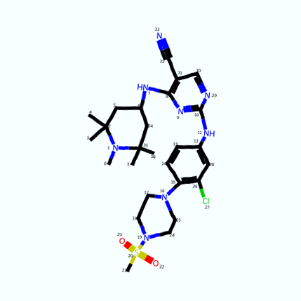 CN1C(C)(C)CC(Nc2nc(Nc3ccc(N4CCN(S(C)(=O)=O)CC4)c(Cl)c3)ncc2C#N)CC1(C)C